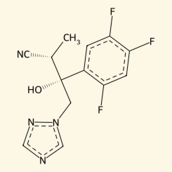 C[C@@H](C#N)[C@](O)(Cn1cncn1)c1cc(F)c(F)cc1F